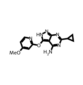 COc1ccnc(Oc2[nH]nc3nc(C4CC4)nc(N)c23)c1